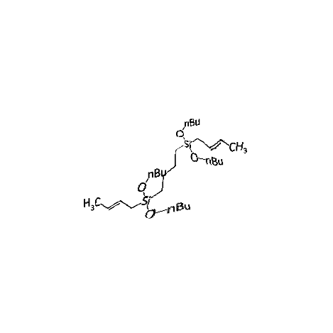 CC=CC[Si](CCCC[Si](CC=CC)(OCCCC)OCCCC)(OCCCC)OCCCC